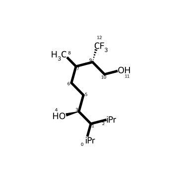 CC(C)C(C(C)C)[C@@H](O)CCC(C)[C@@H](CO)C(F)(F)F